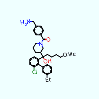 CCc1cccc(-c2c(Cl)cccc2C(O)(CCCCOC)C2CCCN(C(=O)c3ccc(CN)cc3)C2)c1